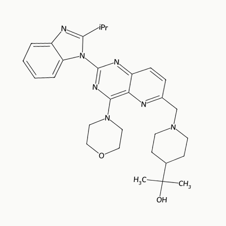 CC(C)c1nc2ccccc2n1-c1nc(N2CCOCC2)c2nc(CN3CCC(C(C)(C)O)CC3)ccc2n1